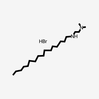 Br.CCCCCCCCCCCCCCCCNCCN(C)C